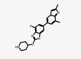 CC1=CC2C=C(c3cc(F)c4nc(OC5CCNCC5)sc4c3)C=C(C)C2=N1